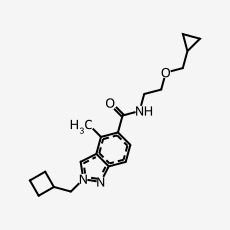 Cc1c(C(=O)NCCOCC2CC2)ccc2nn(CC3CCC3)cc12